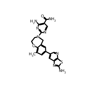 Cc1cc(-c2cnc3sc(N)nc3c2)cc2c1OCCN(c1ncc(C(N)=O)c(N)n1)C2